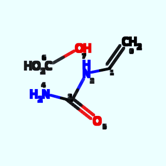 C=CNC(N)=O.O=C(O)O